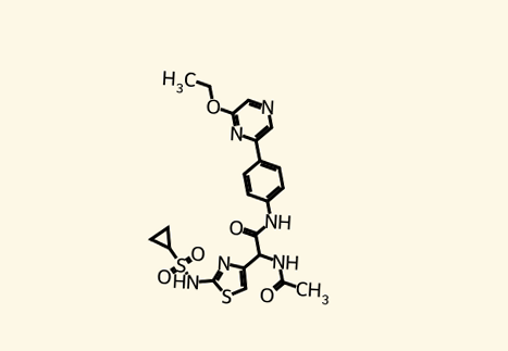 CCOc1cncc(-c2ccc(NC(=O)C(NC(C)=O)c3csc(NS(=O)(=O)C4CC4)n3)cc2)n1